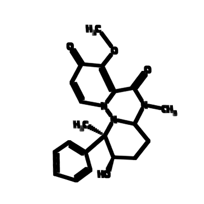 COc1c2n(ccc1=O)N1C(CC[C@@H](O)[C@@]1(C)c1ccccc1)N(C)C2=O